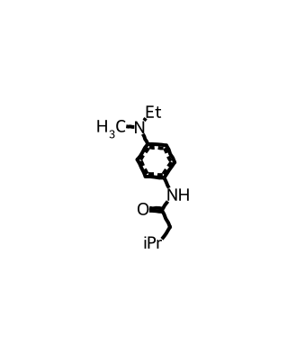 CCN(C)c1ccc(NC(=O)CC(C)C)cc1